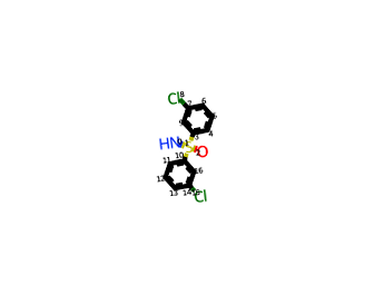 N=S(=O)(c1cccc(Cl)c1)c1cccc(Cl)c1